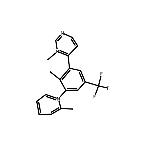 Cc1c(-c2ccnc[n+]2C)cc(C(F)(F)F)cc1-[n+]1ccccc1C